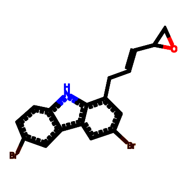 Brc1ccc2[nH]c3c(CC=CC4CO4)cc(Br)cc3c2c1